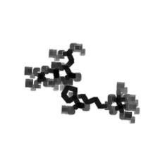 CC(C)C[C@H](NC(=O)OC(C)(C)C)C(=O)N[C@H]1CC[C@@](CCCCB2OC(C)(C)C(C)(C)O2)(C(=O)O)C1